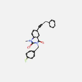 Cn1c(=O)n(Cc2ccc(F)cc2)c(=O)c2cc(C#CCc3ccccc3)ccc21